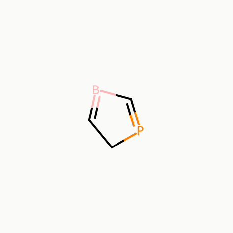 B1=CCP=C1